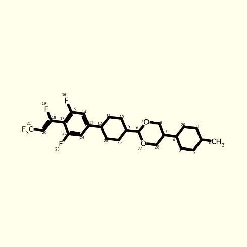 CC1CCC(C2COC(C3CCC(c4cc(F)c(/C(F)=C/C(F)(F)F)c(F)c4)CC3)OC2)CC1